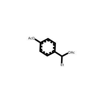 CCC(OC(C)=O)c1ccc(OC(C)=O)cc1